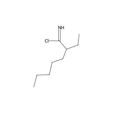 CCCCCC(CC)C(=N)Cl